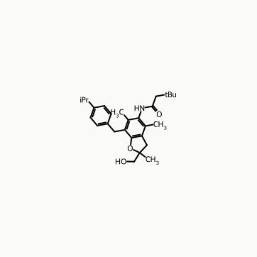 Cc1c(Cc2ccc(C(C)C)cc2)c2c(c(C)c1NC(=O)CC(C)(C)C)CC(C)(CO)O2